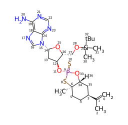 C=C(C)[C@H]1CC[C@@]2(C)S[P@](=S)(O[C@H]3C[C@H](n4cnc5c(N)ncnc54)O[C@@H]3CO[Si](C)(C)C(C)(C)C)O[C@@H]2C1